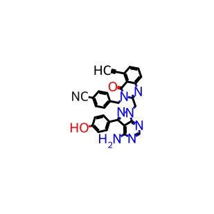 C#Cc1cccc2nc(Cn3nc(-c4ccc(O)cc4)c4c(N)ncnc43)n(Cc3ccc(C#N)cc3)c(=O)c12